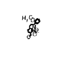 CCOc1ccccc1-c1ccc2ccc(C=O)c([N+](=O)[O-])c2n1